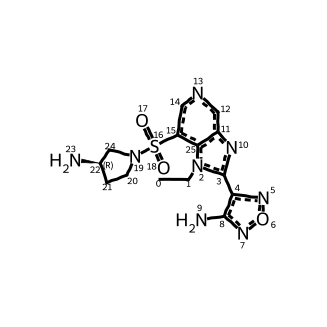 CCn1c(-c2nonc2N)nc2cncc(S(=O)(=O)N3CC[C@@H](N)C3)c21